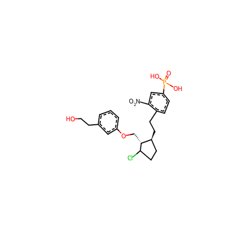 O=[N+]([O-])c1cc(P(=O)(O)O)ccc1CC[C@H]1CCC(Cl)[C@@H]1COc1cccc(CCO)c1